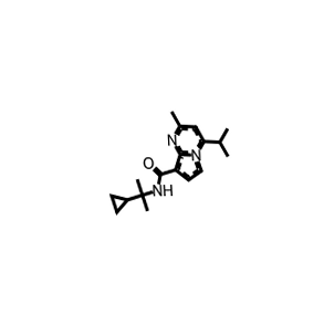 Cc1cc(C(C)C)n2ccc(C(=O)NC(C)(C)C3CC3)c2n1